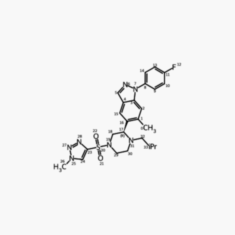 Cc1cc2c(cnn2-c2ccc(F)cc2)cc1[C@@H]1CN(S(=O)(=O)c2cn(C)nn2)CCN1CC(C)C